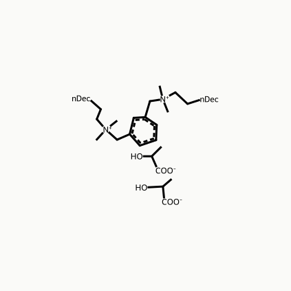 CC(O)C(=O)[O-].CC(O)C(=O)[O-].CCCCCCCCCCCC[N+](C)(C)Cc1cccc(C[N+](C)(C)CCCCCCCCCCCC)c1